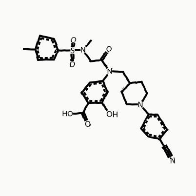 Cc1ccc(S(=O)(=O)N(C)CC(=O)N(CC2CCN(c3ccc(C#N)cc3)CC2)c2ccc(C(=O)O)c(O)c2)cc1